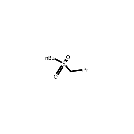 [CH2]CCCS(=O)(=O)CC(C)C